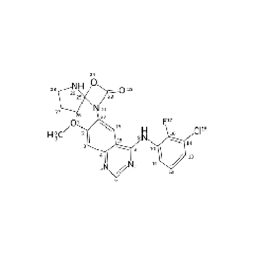 COc1cc2ncnc(Nc3cccc(Cl)c3F)c2cc1N1C(=O)OC12CCCN2